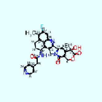 CC[C@@]1(O)C(=O)OCc2c1cc1n(c2=O)Cc2c-1nc1cc(F)c(C)c3c1c2[C@@H](NC(=O)Cc1ccncc1)CC3